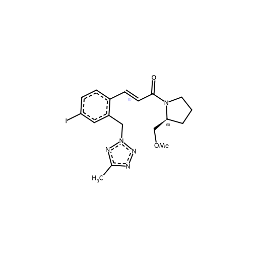 COC[C@@H]1CCCN1C(=O)/C=C/c1ccc(I)cc1Cn1nnc(C)n1